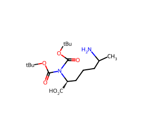 CC(N)CCC[C@@H](C(=O)O)N(C(=O)OC(C)(C)C)C(=O)OC(C)(C)C